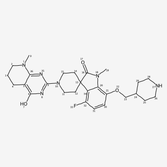 CN1CCCc2c(O)nc(N3CCC4(CC3)C(=O)N(C)c3c(OCC5CCNCC5)ccc(F)c34)nc21